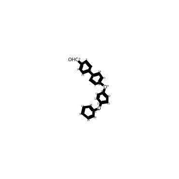 O=Cc1ccc(-c2ccc(Oc3ccc(Oc4ccccc4)cc3)cc2)cc1